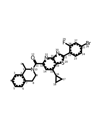 CC1c2ccccc2CCN1C(=O)c1cc(C2CC2)c2sc(-c3ccc(Br)cc3F)nc2n1